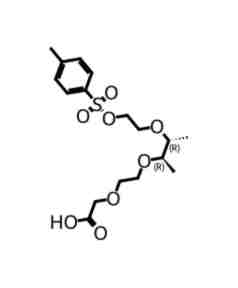 Cc1ccc(S(=O)(=O)OCCO[C@H](C)[C@@H](C)OCCOCC(=O)O)cc1